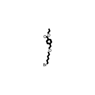 CCCOC(=O)c1ccc(CCOCCCCCCBr)cc1